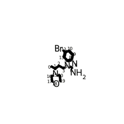 CC(CCn1c(N)nc2ccc(Br)cc21)N1CCOCC1